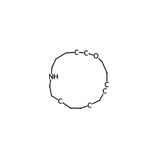 C1CCCCCNCCCCCOCCCCC1